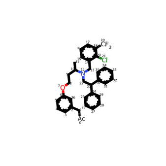 CC(=O)Cc1cccc(OCCC(C)N(Cc2cccc(C(F)(F)F)c2Cl)CC(c2ccccc2)c2ccccc2)c1